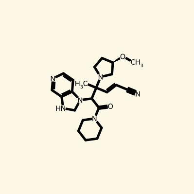 CO[C@@H]1CCN(C(C)(C=CC#N)C(C(=O)N2CCCCC2)N2CNc3cnccc32)C1